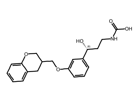 O=C(O)NCC[C@@H](O)c1cccc(OCC2COc3ccccc3C2)c1